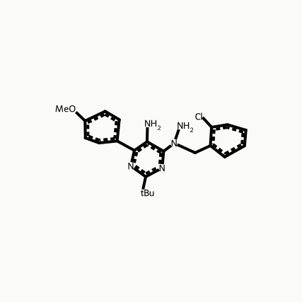 COc1ccc(-c2nc(C(C)(C)C)nc(N(N)Cc3ccccc3Cl)c2N)cc1